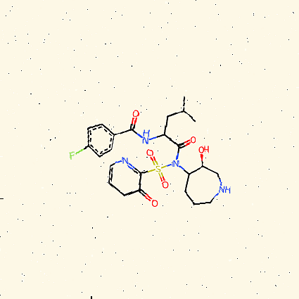 CC(C)CC(NC(=O)c1ccc(F)cc1)C(=O)N(C1CCCNC[C@@H]1O)S(=O)(=O)C1=NC=CCC1=O